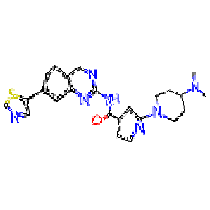 CN(C)C1CCN(c2cc(C(=O)Nc3ncc4ccc(-c5cncs5)cc4n3)ccn2)CC1